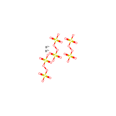 O=S(=O)([O-])OOS(=O)(=O)[O-].O=S(=O)([O-])OOS(=O)(=O)[O-].O=S(=O)([O-])OOS(=O)(=O)[O-].[B+3].[B+3]